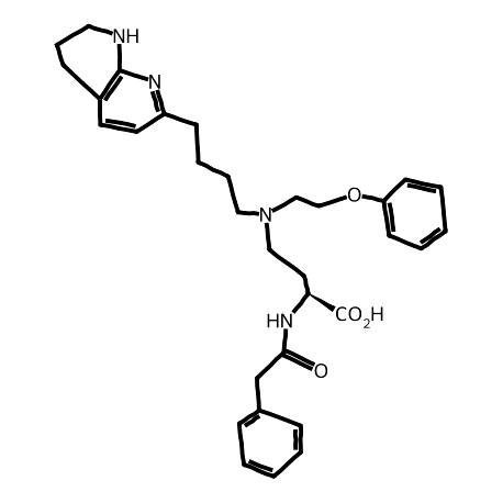 O=C(Cc1ccccc1)N[C@@H](CCN(CCCCc1ccc2c(n1)NCCC2)CCOc1ccccc1)C(=O)O